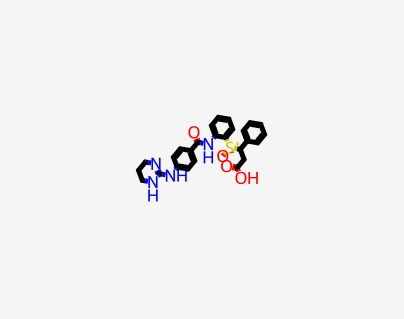 O=C(O)CC(c1ccccc1)[S+]([O-])c1ccccc1NC(=O)c1ccc(NC2=NCCCN2)cc1